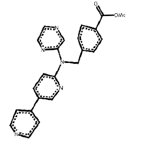 COC(=O)c1ccc(CN(c2ccc(-c3ccncc3)cn2)c2cnccn2)cc1